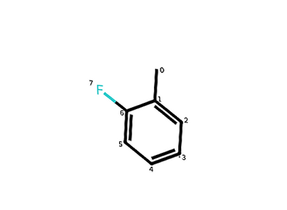 Cc1c[c]ccc1F